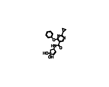 O=C(NC1C=CS(O)(O)C1)c1cnc(C2CC2)nc1Oc1ccccc1